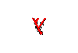 CCCCCCCCCCOC(=O)CCCCCC(=O)OCC(COC(=O)CCCCCCC(=O)OC(CCCCCCCC)CCCCCCCC)COC(=O)OCCCN1CCN(C)CC1